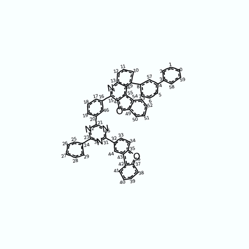 c1ccc(-c2cccc(-c3cccc4nc(-c5cccc(-c6nc(-c7ccccc7)nc(-c7ccc8oc9ccccc9c8c7)n6)c5)c5oc6ccccc6c5c34)c2)cc1